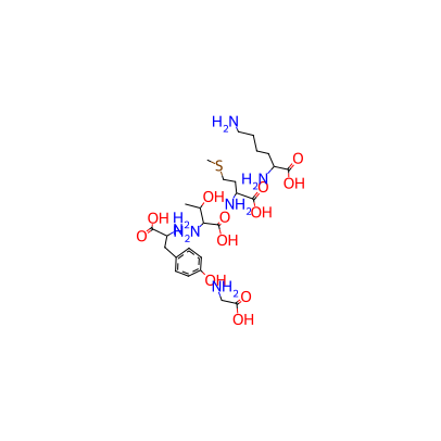 CC(O)C(N)C(=O)O.CSCCC(N)C(=O)O.NC(Cc1ccc(O)cc1)C(=O)O.NCC(=O)O.NCCCCC(N)C(=O)O